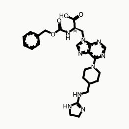 O=C(N[C@H](Cn1cnc2c(N3CCC(CNC4=NCCN4)CC3)ncnc21)C(=O)O)OCc1ccccc1